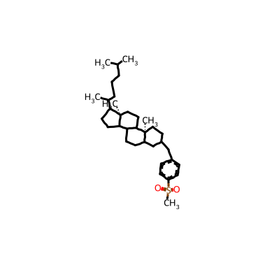 CC(C)CCCC(C)C1CCC2C3CCC4CC(Cc5ccc(S(C)(=O)=O)cc5)CC[C@]4(C)C3CC[C@]12C